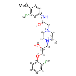 COc1ccc(NC(=O)CN2CCN(C[C@H](O)COc3ccccc3F)[C@@H](C)C2)cc1F